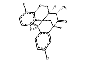 C[C@@H]1C(=O)[C@H]2C[C@]3(c4c(F)ccc(F)c4OC[C@@H]13)S(=O)(=O)c1ccc(Cl)cc12